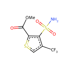 COC(=O)c1scc(C(F)(F)F)c1S(N)(=O)=O